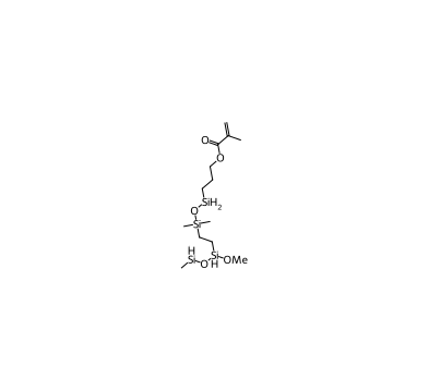 C=C(C)C(=O)OCCC[SiH2]O[Si](C)(C)CC[SiH](OC)O[SiH](C)C